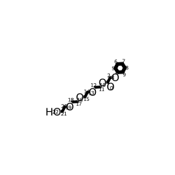 O=C(COc1ccccc1)OCCOCCOCCOCCO